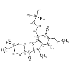 CCCn1c(=O)c2c(C)c(C(=O)N3CCC(C)(O)CC3)sc2n(CCOC(F)(F)F)c1=O